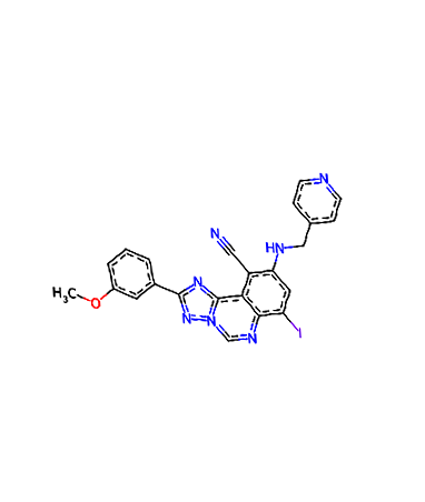 COc1cccc(-c2nc3c4c(C#N)c(NCc5ccncc5)cc(I)c4ncn3n2)c1